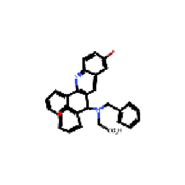 O=C(O)CN(Cc1ccccc1)C(c1ccccc1)c1cc2cc(Br)ccc2nc1-c1ccccc1